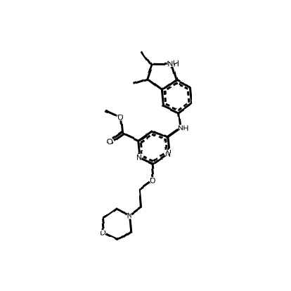 COC(=O)c1cc(Nc2ccc3c(c2)C(C)C(C)N3)nc(OCCN2CCOCC2)n1